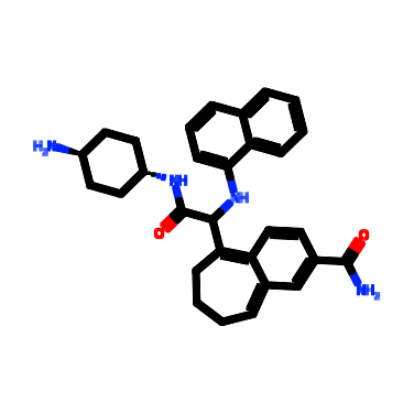 NC(=O)c1ccc2c(c1)=CCCCC=2C(Nc1cccc2ccccc12)C(=O)N[C@H]1CC[C@H](N)CC1